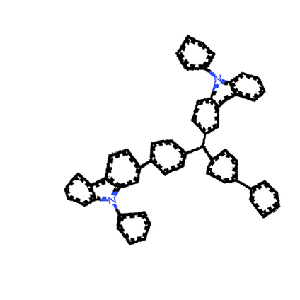 c1ccc(-c2ccc(C(c3ccc(-c4ccc5c6ccccc6n(-c6ccccc6)c5c4)cc3)c3ccc4c(c3)c3ccccc3n4-c3ccccc3)cc2)cc1